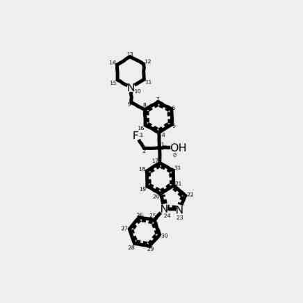 OC(CF)(c1cccc(CN2CCCCC2)c1)c1ccc2c(cnn2-c2ccccc2)c1